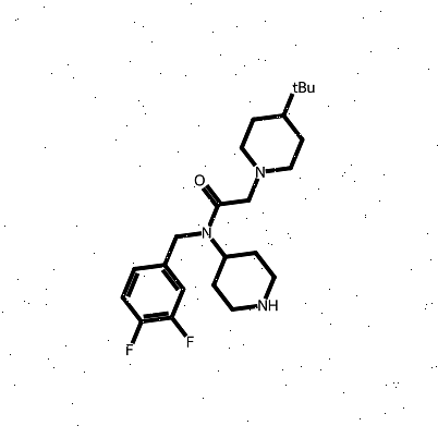 CC(C)(C)C1CCN(CC(=O)N(Cc2ccc(F)c(F)c2)C2CCNCC2)CC1